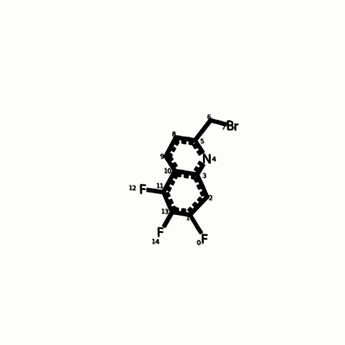 Fc1cc2nc(CBr)ccc2c(F)c1F